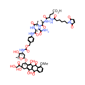 COc1cccc2c1C(=O)c1c(O)c3c(c(O)c1C2=O)C[C@@](O)(C(=O)CO)C[C@@H]3O[C@H]1C[C@H](NC(=O)OCc2ccc(NC(=O)[C@@H](CC(N)=O)NC(=O)[C@@H](C)NC(=O)[C@@H](C)NC(=O)C(CCC(=O)O)NC(=O)CCCCCN3C(=O)C=CC3=O)cc2)[C@H](O)[C@H](C)O1